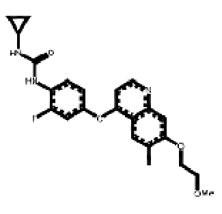 COCCOc1cc2nccc(Oc3ccc(NC(=O)NC4CC4)c(F)c3)c2cc1C